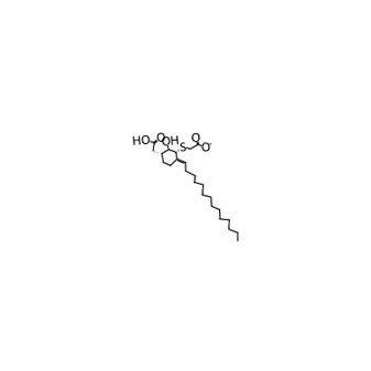 CCCCCCCCCCCCC/C=C1\CC[C@H](CC(=O)O)[C@@H](O)[C@@H]1SCC(=O)OC